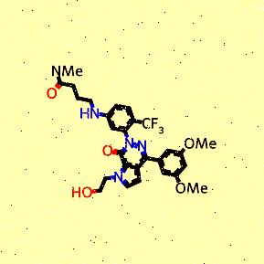 CNC(=O)CCCNc1ccc(C(F)(F)F)c(-n2nc(-c3cc(OC)cc(OC)c3)c3ccn(CCO)c3c2=O)c1